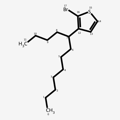 CCCCCCCC(CCCC)c1ccsc1Br